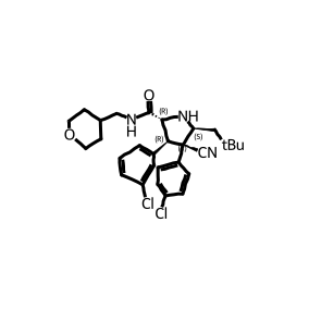 CC(C)(C)C[C@@H]1N[C@@H](C(=O)NCC2CCOCC2)[C@H](c2cccc(Cl)c2)[C@@]1(C#N)c1ccc(Cl)cc1